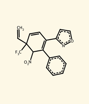 C=CC1(C(F)(F)F)C=CC(c2ccon2)=C(c2ccccc2)C1[N+](=O)[O-]